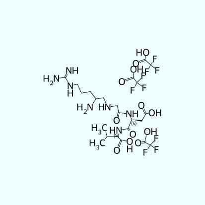 CC(C)[C@H](NC(=O)[C@H](CC(=O)O)NC(=O)CNCC(N)CCCNC(=N)N)C(=O)O.O=C(O)C(F)(F)F.O=C(O)C(F)(F)F.O=C(O)C(F)(F)F